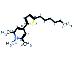 CCCCCCc1ccc(C2=CC(C)N(C)C(C)=C2)s1